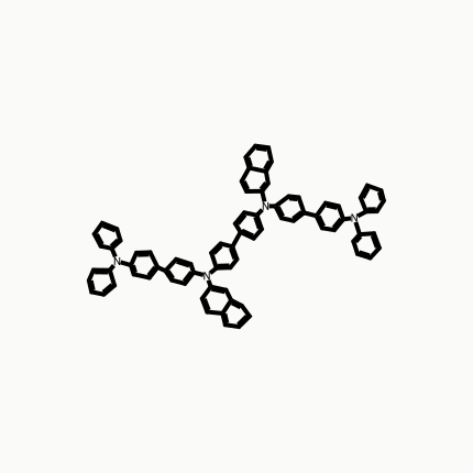 c1ccc(N(c2ccccc2)c2ccc(-c3ccc(N(c4ccc(-c5ccc(N(c6ccc(-c7ccc(N(c8ccccc8)c8ccccc8)cc7)cc6)c6ccc7ccccc7c6)cc5)cc4)c4ccc5ccccc5c4)cc3)cc2)cc1